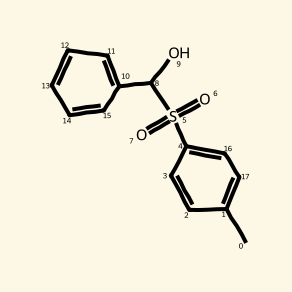 Cc1ccc(S(=O)(=O)C(O)c2ccccc2)cc1